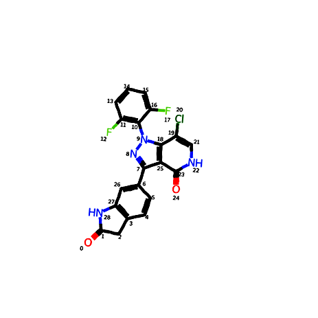 O=C1Cc2ccc(-c3nn(-c4c(F)cccc4F)c4c(Cl)c[nH]c(=O)c34)cc2N1